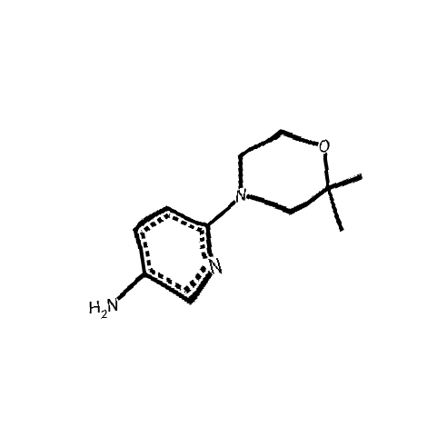 CC1(C)CN(c2ccc(N)cn2)CCO1